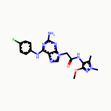 COc1nn(C)c(C)c1NC(=O)Cn1cnc2c(Nc3ccc(F)cc3)nc(N)nc21